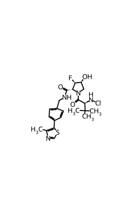 Cc1ncsc1-c1ccc(CNC(=O)[C@@H]2[C@@H](F)[C@@H](O)CN2C(=O)[C@@H](NCl)C(C)(C)C)cc1